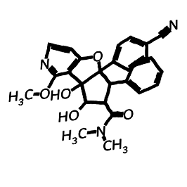 COc1nccc2c1C1(O)C(O)C(C(=O)N(C)C)C(c3ccccc3)C1(c1ccc(C#N)cc1)O2